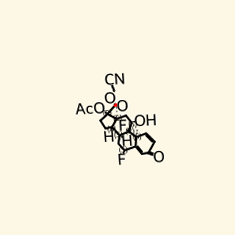 CC(=O)O[C@]1(C(=O)OCC#N)CC[C@H]2[C@@H]3C[C@H](F)C4=CC(=O)C=C[C@]4(C)[C@@]3(F)[C@@H](O)C[C@@]21C